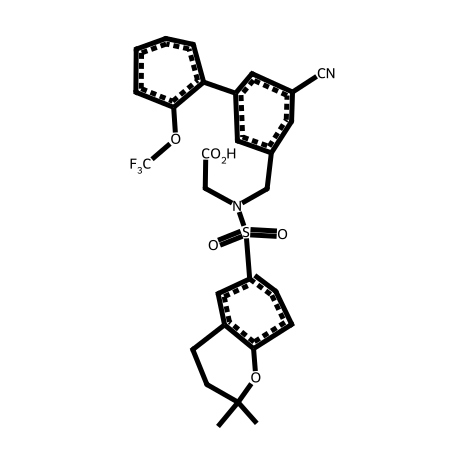 CC1(C)CCc2cc(S(=O)(=O)N(CC(=O)O)Cc3cc(C#N)cc(-c4ccccc4OC(F)(F)F)c3)ccc2O1